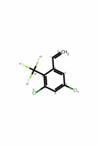 C=Cc1cc(Cl)cc(Cl)c1C(F)(F)F